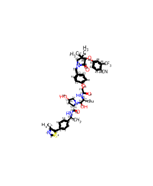 Cc1ncsc1-c1ccc([C@H](C)NC(=O)[C@@H]2C[C@@H](O)CN2C(O)[C@@H](NC(=O)COc2ccc(CN3CC(C)(C)[C@@H](Oc4ccc(C#N)c(C(F)(F)F)c4)C3=O)cc2)C(C)(C)C)cc1